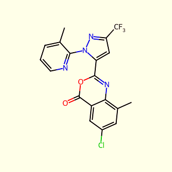 Cc1cccnc1-n1nc(C(F)(F)F)cc1-c1nc2c(C)cc(Cl)cc2c(=O)o1